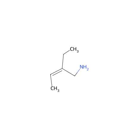 CC=C(CC)CN